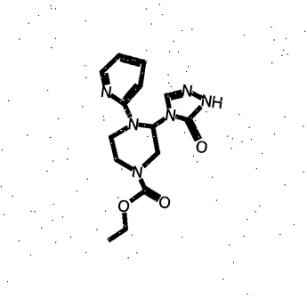 CCOC(=O)N1CCN(c2ccccn2)C(n2cn[nH]c2=O)C1